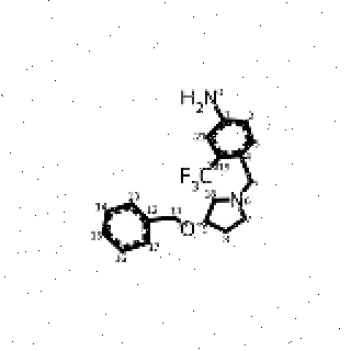 Nc1ccc(CN2CC[C@H](OCc3ccccc3)C2)c(C(F)(F)F)c1